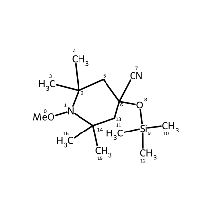 CON1C(C)(C)CC(C#N)(O[Si](C)(C)C)CC1(C)C